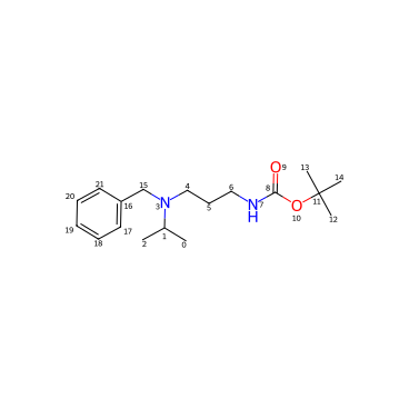 CC(C)N(CCCNC(=O)OC(C)(C)C)Cc1ccccc1